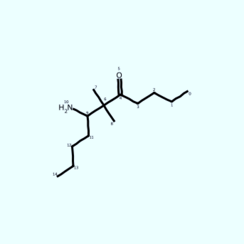 CCCCC(=O)C(C)(C)C(N)CCCC